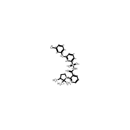 CC1CCN(c2ncccc2C(=O)NS(=O)(=O)c2cccc(Oc3cccc(Cl)c3)n2)C1(C)C